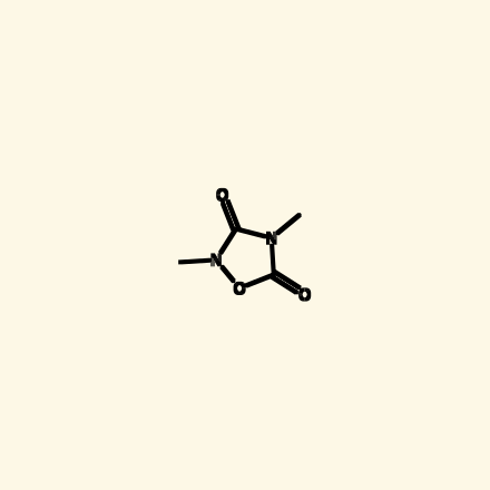 Cn1oc(=O)n(C)c1=O